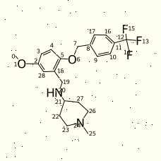 COc1ccc(OCc2ccc(C(F)(F)F)cc2)c(CNC2CCN(C)CC2)c1